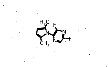 Cc1ccc(C)n1-c1ncc(F)nc1F